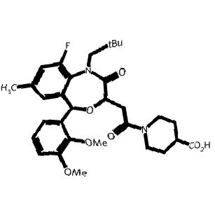 COc1cccc(C2OC(CC(=O)N3CCC(C(=O)O)CC3)C(=O)N(CC(C)(C)C)c3c(F)cc(C)cc32)c1OC